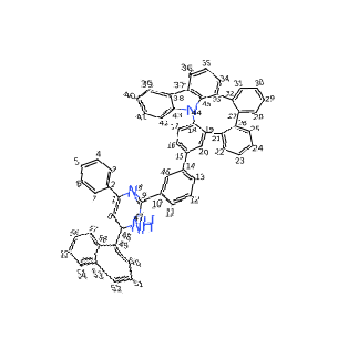 C1=C(c2ccccc2)N=C(c2cccc(-c3ccc4c(c3)c3ccccc3c3ccccc3c3cccc5c6ccccc6n4c35)c2)NC1c1cccc2ccccc12